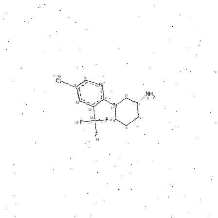 N[C@@H]1CCCN(c2ncc(Cl)cc2C(F)(F)F)C1